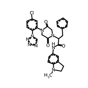 CN1CCc2cc(NC(=O)C(Cc3ccccc3)N3CC(=O)N(c4cc(Cl)ccc4-n4cnnn4)CC3=O)ccc21